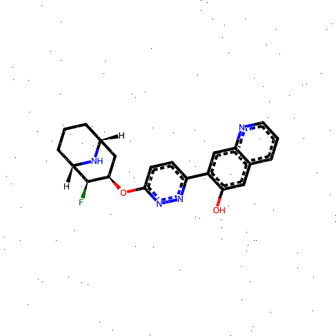 Oc1cc2cccnc2cc1-c1ccc(O[C@@H]2C[C@H]3CCC[C@H](N3)[C@@H]2F)nn1